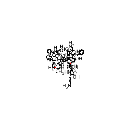 CC(C)C[C@H](NC(=O)CNC(=O)[C@@H]1C[C@@H](O)CN1C(=O)[C@H](Cc1ccccc1)NC(=O)CN)C(=O)N1CCC[C@H]1C(=O)NCC(=O)N1CCC[C@H]1C(=O)N[C@@H](CO)C(=O)NCC(=O)N[C@@H](CCC(=O)O)C(=O)N1C[C@H](O)C[C@H]1C(=O)NCC(=O)N[C@@H](CCCCN)C(=O)O